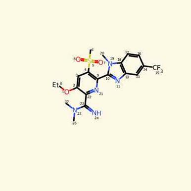 CCOc1cc(S(C)(=O)=O)c(-c2nc3cc(C(F)(F)F)ccc3n2C)nc1C(=N)N(C)C